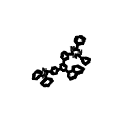 c1ccc(-c2nc(-c3ccccc3)nc(-c3cccc(-c4cc(-c5ccc(-c6nc7ccccc7n6-c6ccccc6)cc5)cc(-c5cccc6ccccc56)c4)c3)n2)cc1